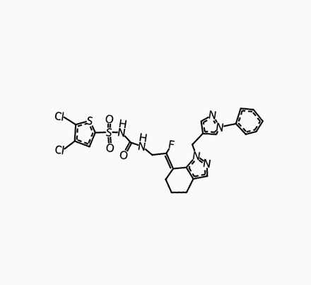 O=C(NCC(F)=C1CCCc2cnn(Cc3cnn(-c4ccccc4)c3)c21)NS(=O)(=O)c1cc(Cl)c(Cl)s1